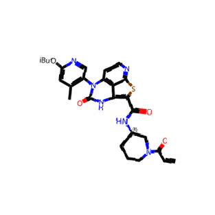 C=CC(=O)N1CCC[C@@H](NC(=O)c2sc3nccc4c3c2NC(=O)N4c2cnc(OCC(C)C)cc2C)C1